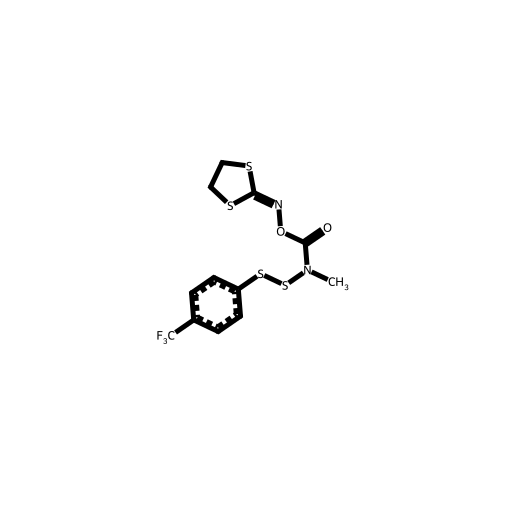 CN(SSc1ccc(C(F)(F)F)cc1)C(=O)ON=C1SCCS1